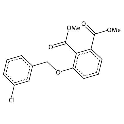 COC(=O)c1cccc(OCc2cccc(Cl)c2)c1C(=O)OC